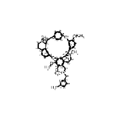 COc1ccc2cc1Oc1ccc(cc1)C[C@H]1c3cc(ccc3CCN1C)Oc1c(OC)c(OC)c(CNCc3ccc(C)o3)c3c1[C@H](C2)N(C)CC3